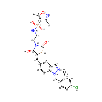 Cc1noc(C)c1S(=O)(=O)NCCN1C(=O)SC(=Cc2ccc3c(cnn3Cc3ccc(Cl)cc3C(F)(F)F)c2)C1=O